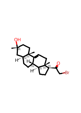 C[C@@]1(O)CC[C@]2(C)C3=CC[C@]4(C)[C@@H](C(=O)CBr)CC[C@H]4[C@@H]3CC[C@H]2C1